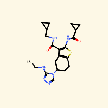 CC(C)(C)CNc1nncn1C1CCc2sc(NC(=O)C3CC3)c(C(=O)NCC3CC3)c2C1